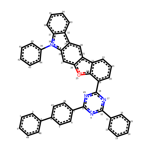 c1ccc(-c2ccc(-c3nc(-c4ccccc4)nc(-c4cccc5c4oc4cc6c(cc45)c4ccccc4n6-c4ccccc4)n3)cc2)cc1